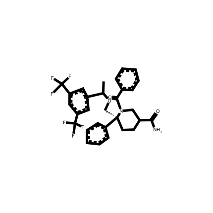 CC(OC[C@@]1(c2ccccc2)CCC(C(N)=O)CN1C(=O)c1ccccc1)c1cc(C(F)(F)F)cc(C(F)(F)F)c1